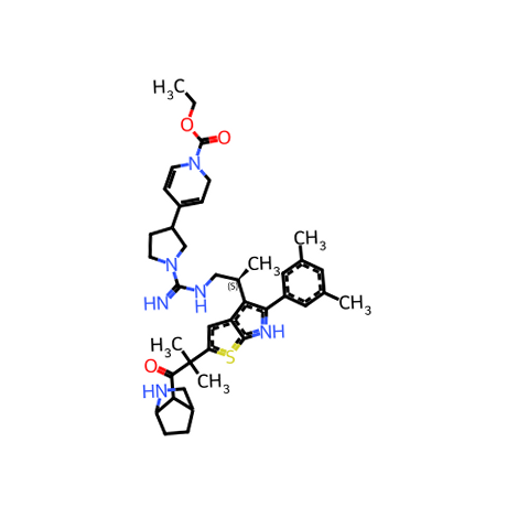 CCOC(=O)N1C=CC(C2CCN(C(=N)NC[C@@H](C)c3c(-c4cc(C)cc(C)c4)[nH]c4sc(C(C)(C)C(=O)C5C6CCC5NC6)cc34)C2)=CC1